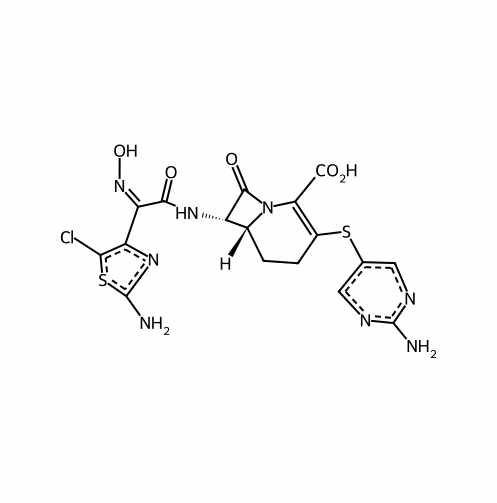 Nc1ncc(SC2=C(C(=O)O)N3C(=O)[C@@H](NC(=O)/C(=N\O)c4nc(N)sc4Cl)[C@H]3CC2)cn1